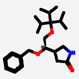 CC(C)[Si](OC[C@@H](OCc1ccccc1)C1CNC(=O)C1)(C(C)C)C(C)C